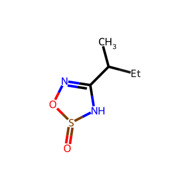 CCC(C)C1=NOS(=O)N1